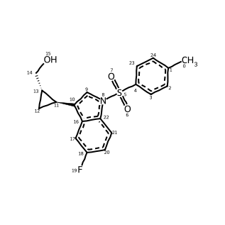 Cc1ccc(S(=O)(=O)n2cc([C@H]3C[C@@H]3CO)c3cc(F)ccc32)cc1